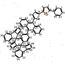 c1ccc(-c2ccc(-c3ccc(-c4c5ccccc5c(-c5ccc6c(c5)C5(c7ccccc7-c7ccccc75)c5ccccc5C65c6ccccc6-c6ccccc65)c5ccccc45)s3)s2)cc1